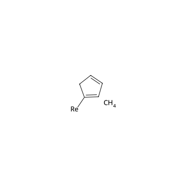 C.[Re][C]1=CC=CC1